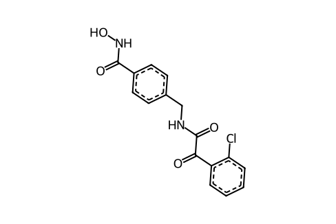 O=C(NCc1ccc(C(=O)NO)cc1)C(=O)c1ccccc1Cl